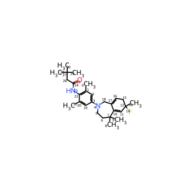 Cc1cc(N2CCC(C)(C)C3=CC(C)(F)CC=C3C2)cc(C)c1NC(=O)CC(C)(C)C